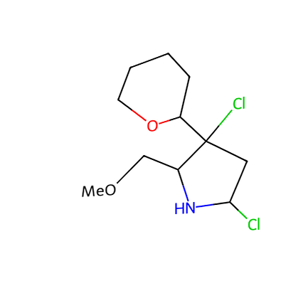 COCC1NC(Cl)CC1(Cl)C1CCCCO1